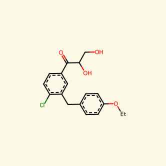 CCOc1ccc(Cc2cc(C(=O)C(O)CO)ccc2Cl)cc1